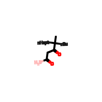 BC(=O)CC(=O)C(C)(CCCC)CCCCCCC